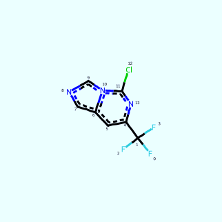 FC(F)(F)c1cc2cncn2c(Cl)n1